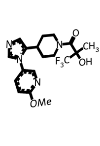 COc1ccc(-n2cncc2C2CCN(C(=O)C(C)(O)C(F)(F)F)CC2)cn1